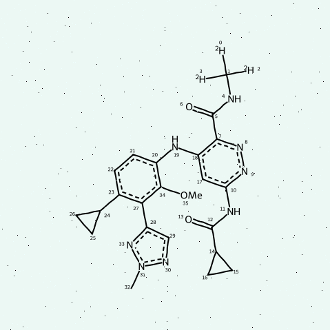 [2H]C([2H])([2H])NC(=O)c1nnc(NC(=O)C2CC2)cc1Nc1ccc(C2CC2)c(-c2cnn(C)n2)c1OC